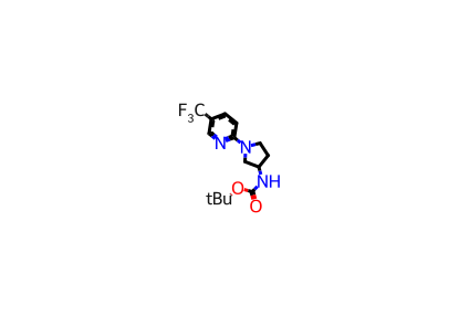 CC(C)(C)OC(=O)NC1CCN(c2ccc(C(F)(F)F)cn2)C1